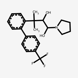 CC(C)(c1ccccc1-c1ccc(C(F)(F)F)cc1)C(O)C(O)N1CCCC1